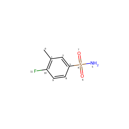 Cc1cc(S(N)(=O)=O)ccc1F